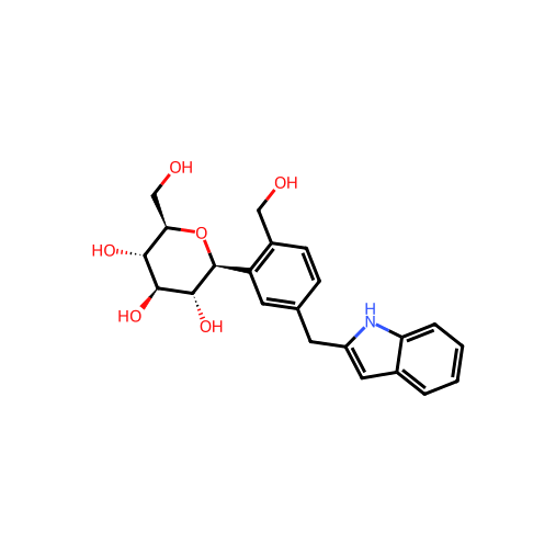 OCc1ccc(Cc2cc3ccccc3[nH]2)cc1[C@@H]1O[C@H](CO)[C@@H](O)[C@H](O)[C@H]1O